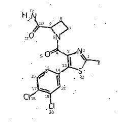 Cc1nc(C(=O)N2CCC2C(N)=O)c(-c2ccc(Cl)c(Cl)c2)s1